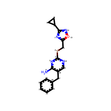 Nc1nc(SCc2nc(C3CC3)no2)ncc1Cc1ccccc1